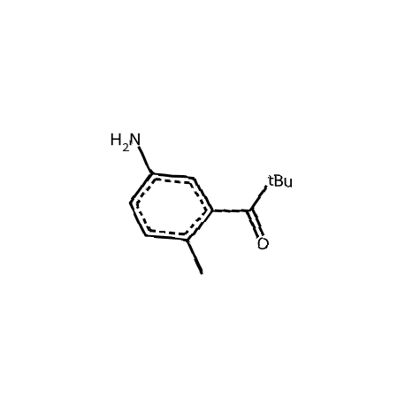 Cc1ccc(N)cc1C(=O)C(C)(C)C